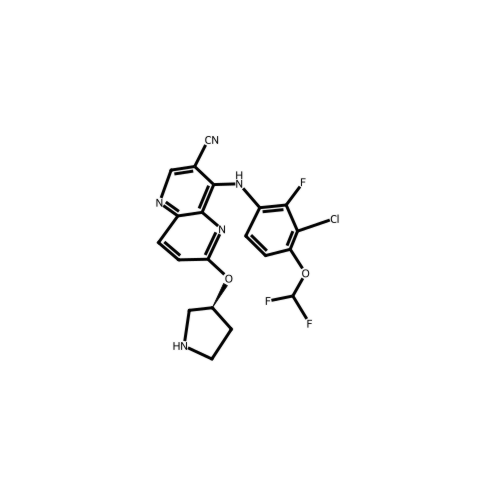 N#Cc1cnc2ccc(O[C@H]3CCNC3)nc2c1Nc1ccc(OC(F)F)c(Cl)c1F